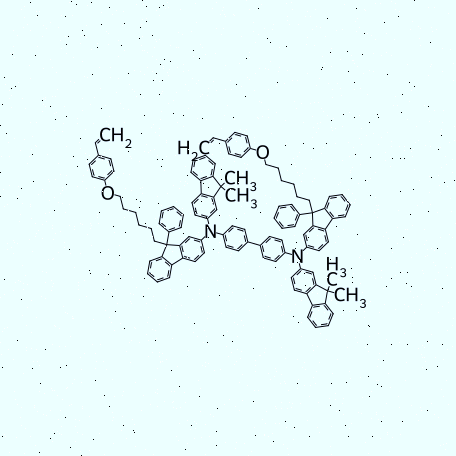 C=Cc1ccc(OCCCCCCC2(c3ccccc3)c3ccccc3-c3ccc(N(c4ccc(-c5ccc(N(c6ccc7c(c6)C(C)(C)c6ccccc6-7)c6ccc7c(c6)C(CCCCCCOc6ccc(C=C)cc6)(c6ccccc6)c6ccccc6-7)cc5)cc4)c4ccc5c(c4)C(C)(C)c4ccccc4-5)cc32)cc1